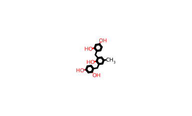 Cc1cc(Cc2ccc(O)cc2O)c(O)c(Cc2ccc(O)cc2O)c1